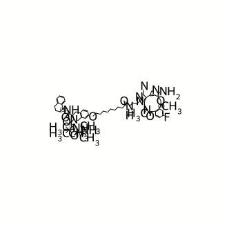 CN[C@H](C)C(=O)N[C@@H](C(=O)N1Cc2cc(OCCCCCCCCC(=O)NCCn3nc(C#N)c4c3CN(C)C(=O)c3ccc(F)cc3[C@@H](C)Oc3cc-4cnc3N)ccc2CC1C(=O)N[C@H]1CCCc2ccccc21)C(C)(C)C